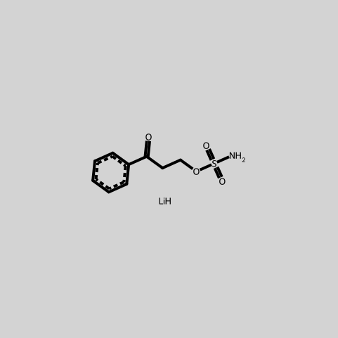 NS(=O)(=O)OCCC(=O)c1ccccc1.[LiH]